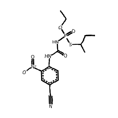 CCOP(=O)(NC(=O)Nc1ccc(C#N)cc1[N+](=O)[O-])SC(C)CC